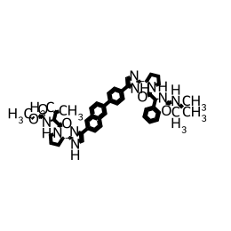 COC(=O)N[C@H](C(=O)N1CCC[C@H]1c1nc(-c2ccc3cc(-c4ccc(-c5cnc([C@@H]6CCCN6C(=O)[C@H](NC(=O)NC(C)(C)C)c6ccccc6)[nH]5)cc4)ccc3c2)c[nH]1)C(C)C